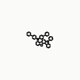 c1ccc(-c2ccc(N(c3ccc(-c4ccccc4)cc3)c3cccc4oc5c(ccc6c5c5ccccc5n6-c5ccccc5)c34)cc2)cc1